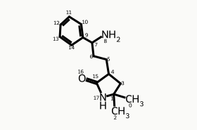 CC1(C)CC(CCC(N)c2ccccc2)C(=O)N1